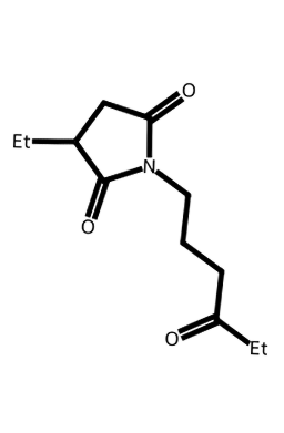 CCC(=O)CCCN1C(=O)CC(CC)C1=O